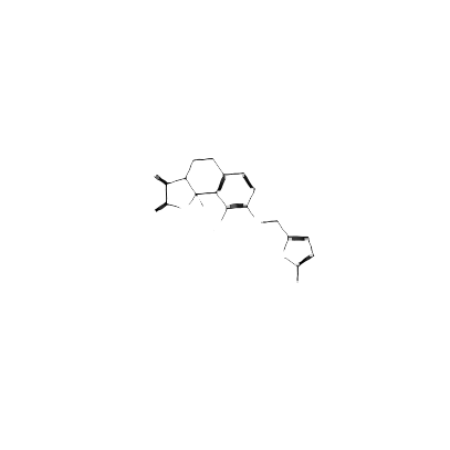 C=C1C(=O)O[C@H]2c3c(ccc(OCc4ccc(Cl)s4)c3C)CCC12